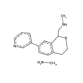 CN.CNCC1OCCc2ccc(-c3cccnc3)cc21